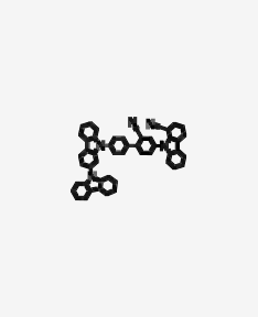 N#Cc1cc(-n2c3ccccc3c3cccc(C#N)c32)ccc1-c1ccc(-n2c3ccccc3c3ccc(-n4c5ccccc5c5ccccc54)cc32)cc1